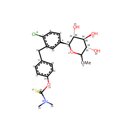 COC1O[C@@H](c2ccc(Cl)c(Cc3ccc(OC(=S)N(C)C)cc3)c2)[C@H](O)[C@@H](O)[C@@H]1O